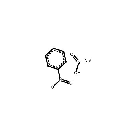 O=[N+]([O-])c1ccccc1.O=[S-]O.[Na+]